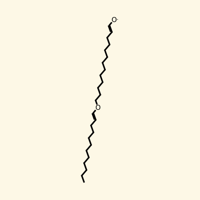 CCCCCCCCCCC=COCCCCCCCCCCCC=C[O]